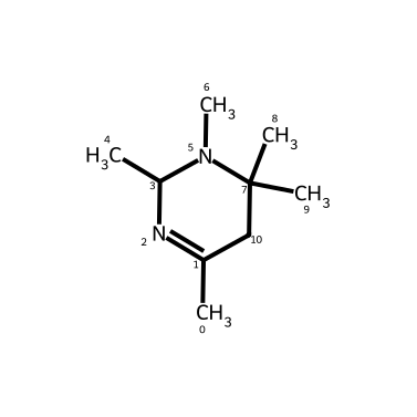 CC1=NC(C)N(C)C(C)(C)C1